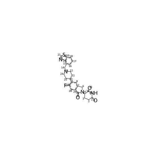 O=C1CCC(N2Cc3cc(C4CCN(Cc5cccc6scnc56)CC4)c(F)cc3C2=O)C(=O)N1